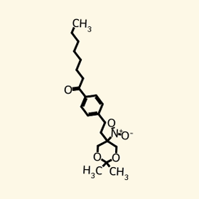 CCCCCCCC(=O)c1ccc(CCC2([N+](=O)[O-])COC(C)(C)OC2)cc1